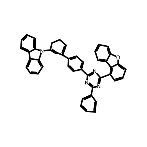 C1=C(c2ccc(-c3nc(-c4ccccc4)nc(-c4cccc5oc6ccccc6c45)n3)cc2)C=C(n2c3ccccc3c3ccccc32)CC1